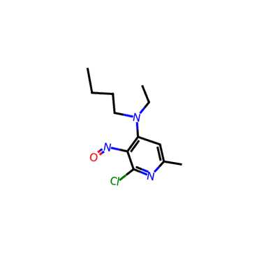 CCCCN(CC)c1cc(C)nc(Cl)c1N=O